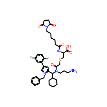 NCCCN(C(=O)CSCC(NC(=O)CCCCCN1C(=O)C=CC1=O)C(=O)O)C(c1cc(-c2cc(F)ccc2F)cn1Cc1ccccc1)C1CCCCC1